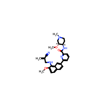 C=C(C#N)CNc1c(OC)ccc2ccc(-c3cccc(C(=O)N[C@@H]4CCN(C)C[C@H]4OC)n3)cc12